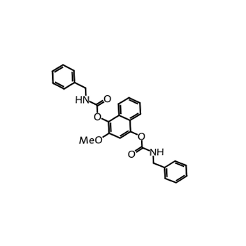 COc1cc(OC(=O)NCc2ccccc2)c2ccccc2c1OC(=O)NCc1ccccc1